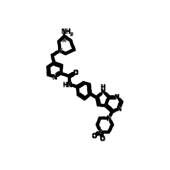 N[C@@H]1CCCN(Cc2ccnc(C(=O)Nc3ccc(-c4cc5c(N6CCS(=O)(=O)CC6)ncnc5[nH]4)cc3)c2)C1